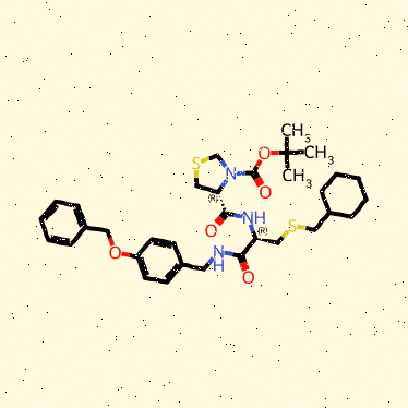 CC(C)(C)OC(=O)N1CSC[C@H]1C(=O)N[C@@H](CSCC1CCCCC1)C(=O)NCc1ccc(OCc2ccccc2)cc1